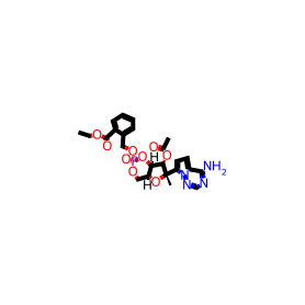 CCOC(=O)c1ccccc1COP1(=O)OC[C@H]2O[C@@](C)(c3ccc4c(N)ncnn34)[C@H](OC(C)=O)[C@@H]2O1